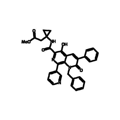 COC(=O)CC1(NC(=O)c2nc(-c3cccnc3)c3c(cc(-c4ccccc4)c(=O)n3Cc3ccccc3)c2O)CC1